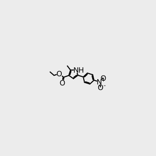 CCOC(=O)c1cc(-c2ccc([N+](=O)[O-])cc2)[nH]c1C